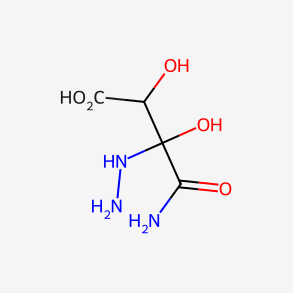 NNC(O)(C(N)=O)C(O)C(=O)O